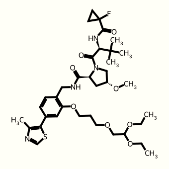 CCOC(COCCCOc1cc(-c2scnc2C)ccc1CNC(=O)[C@@H]1C[C@@H](OC)CN1C(=O)[C@@H](NC(=O)C1(F)CC1)C(C)(C)C)OCC